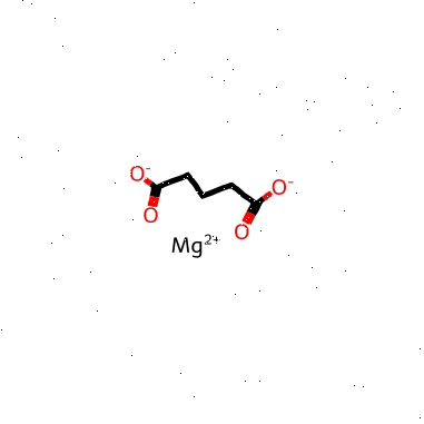 O=C([O-])CCCC(=O)[O-].[Mg+2]